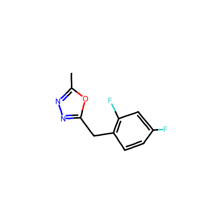 Cc1nnc(Cc2ccc(F)cc2F)o1